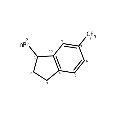 CCCC1CCc2ccc(C(F)(F)F)cc21